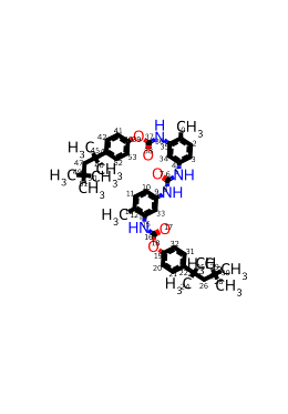 Cc1ccc(NC(=O)Nc2ccc(C)c(NC(=O)Oc3ccc(C(C)(C)CC(C)(C)C)cc3)c2)cc1NC(=O)Oc1ccc(C(C)(C)CC(C)(C)C)cc1